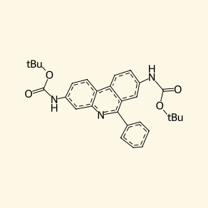 CC(C)(C)OC(=O)Nc1ccc2c(c1)nc(-c1ccccc1)c1cc(NC(=O)OC(C)(C)C)ccc12